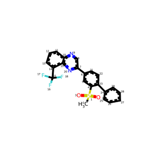 CS(=O)(=O)c1cc(-c2cnc3cccc(C(F)(F)F)c3n2)ccc1-c1ccccc1